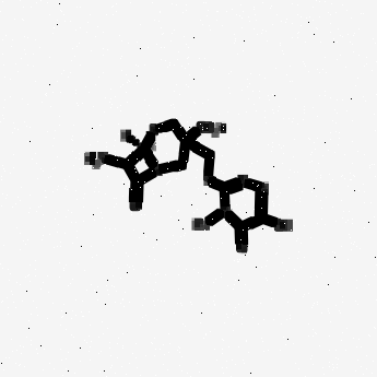 CCC(C)n1c(SCC2(C(=O)O)CS[C@@H]3C(N)C(=O)N3C2)nnc(O)c1=O